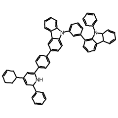 C1=CC2c3cccc(-c4cccc(-n5c6ccccc6c6cc(-c7ccc(C8=CC(C9CC=CCC9)=CC(c9ccccc9)N8)cc7)ccc65)c4)c3N(c3ccccc3)C2C=C1